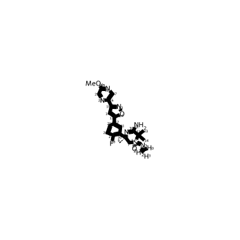 [2H]C([2H])([2H])N=S1(=O)C[C@@](C)(c2cc(-c3cc(-c4cnc(OC)cn4)no3)ccc2F)N=C(N)C1(C)C